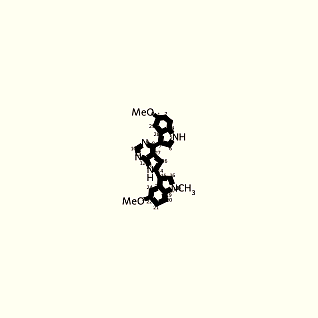 COc1ccc2[nH]cc(-c3ncnc4[nH]c(-c5cn(C)c6ccc(OC)cc56)cc34)c2c1